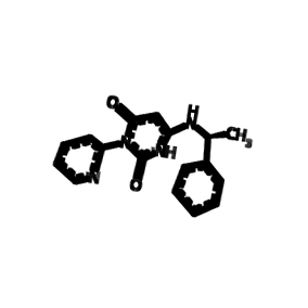 C[C@H](Nc1cc(=O)n(-c2ccccn2)c(=O)[nH]1)c1ccccc1